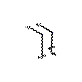 CCCCCCCC/C=C\CCCCCCCC(=O)NCCN.CCCCCCCC/C=C\CCCCCCCCCCCC(=O)O